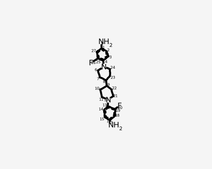 Nc1ccc(N2CCC(C3CCN(c4ccc(N)cc4F)CC3)CC2)c(F)c1